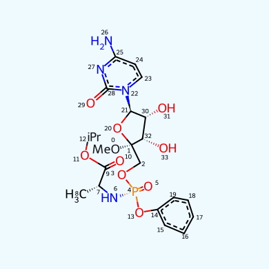 CO[C@]1(CO[P@](=O)(N[C@H](C)C(=O)OC(C)C)Oc2ccccc2)O[C@@H](n2ccc(N)nc2=O)[C@H](O)[C@@H]1O